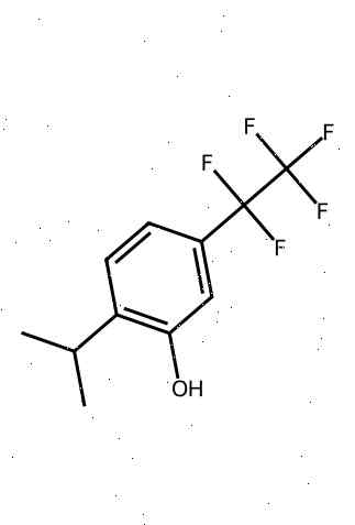 CC(C)c1ccc(C(F)(F)C(F)(F)F)cc1O